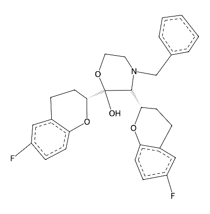 OC1([C@H]2CCc3cc(F)ccc3O2)OCCN(Cc2ccccc2)C1[C@@H]1CCc2cc(F)ccc2O1